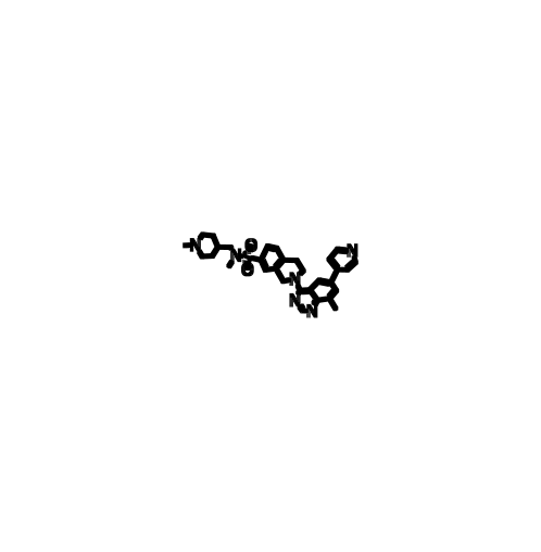 Cc1cc(-c2ccncc2)cc2c(N3CCc4ccc(S(=O)(=O)N(C)CC5CCN(C)CC5)cc4C3)ncnc12